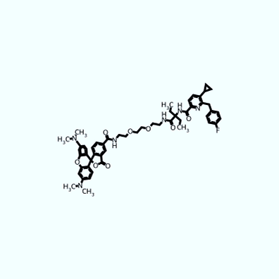 CCC(CC)(NC(=O)c1ccc(C2CC2)c(Cc2ccc(F)cc2)n1)C(=O)NCCOCCOCCNC(=O)c1ccc2c(c1)C(=O)OC21c2ccc(N(C)C)cc2Oc2cc(N(C)C)ccc21